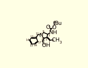 C/C=C1\C(NC(=O)OC(C)(C)C)CN(Cc2ccccc2)C1CO